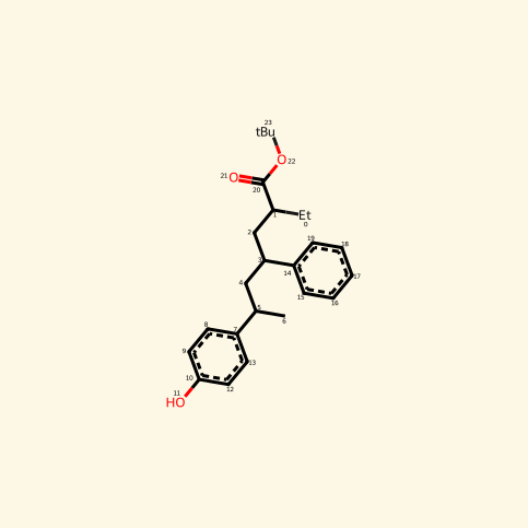 CCC(CC(CC(C)c1ccc(O)cc1)c1ccccc1)C(=O)OC(C)(C)C